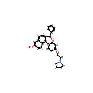 O=C(c1ccccc1)c1ccc2cc(O)ccc2c1-c1ccc(OCCN2CCCC2)cc1